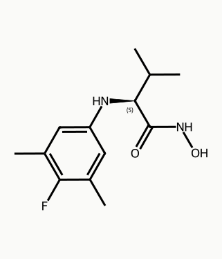 Cc1cc(N[C@H](C(=O)NO)C(C)C)cc(C)c1F